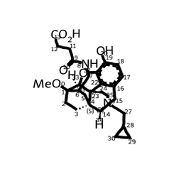 COC12CC[C@@]3(C[C@@H]1CNC(=O)CCC(=O)O)[C@H]1Cc4ccc(O)c5c4[C@@]3(CCN1CC1CC1)C2O5